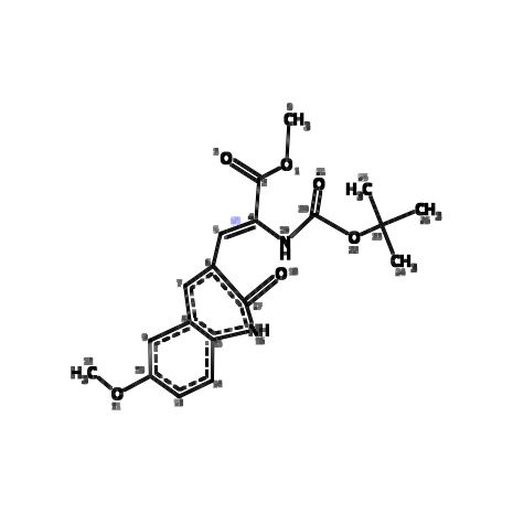 COC(=O)/C(=C/c1cc2cc(OC)ccc2[nH]c1=O)NC(=O)OC(C)(C)C